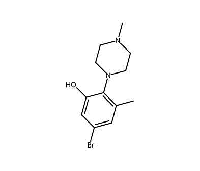 Cc1cc(Br)cc(O)c1N1CCN(C)CC1